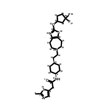 Cc1ncc(CC(=O)N[C@H]2CC[C@H](CCN3CCc4nc(OC5CCC(F)(F)C5)sc4CC3)CC2)s1